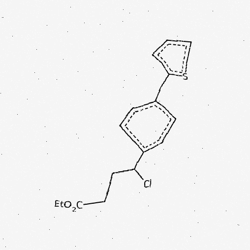 CCOC(=O)CCC(Cl)c1ccc(-c2cccs2)cc1